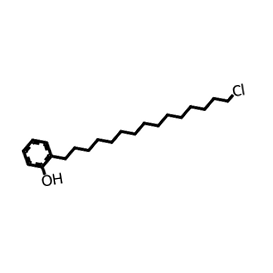 Oc1ccccc1CCCCCCCCCCCCCCCCl